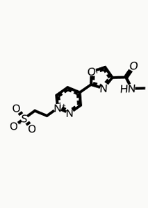 CNC(=O)c1coc(-c2cc[n+](CCS(=O)(=O)[O-])nc2)n1